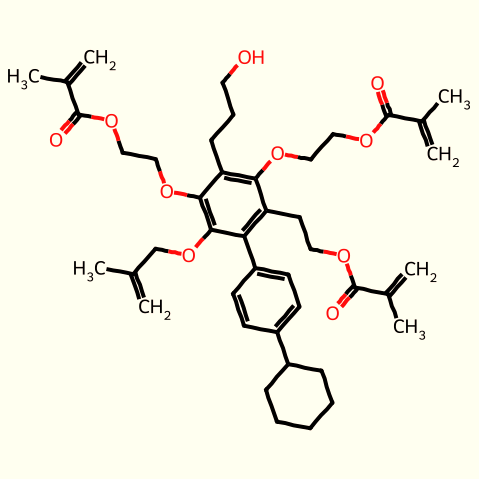 C=C(C)COc1c(OCCOC(=O)C(=C)C)c(CCCO)c(OCCOC(=O)C(=C)C)c(CCOC(=O)C(=C)C)c1-c1ccc(C2CCCCC2)cc1